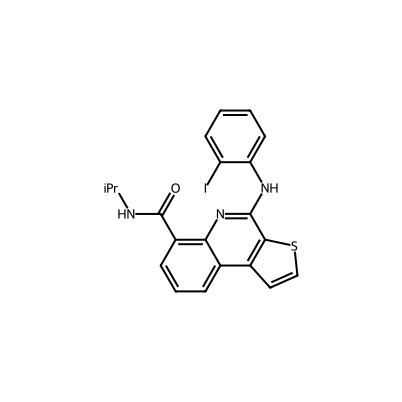 CC(C)NC(=O)c1cccc2c1nc(Nc1ccccc1I)c1sccc12